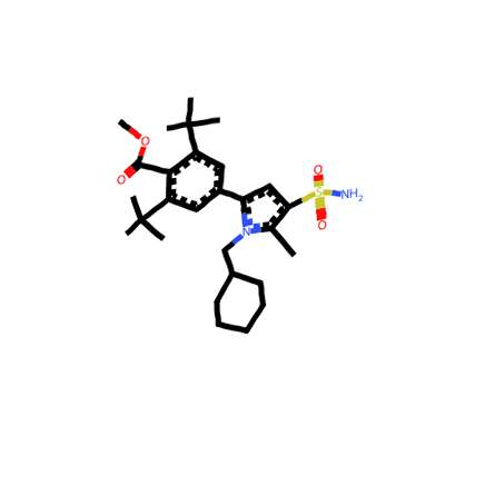 COC(=O)c1c(C(C)(C)C)cc(-c2cc(S(N)(=O)=O)c(C)n2CC2CCCCC2)cc1C(C)(C)C